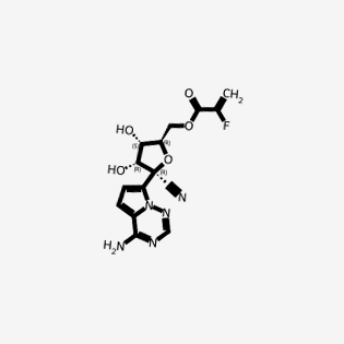 C=C(F)C(=O)OC[C@H]1O[C@@](C#N)(c2ccc3c(N)ncnn23)[C@H](O)[C@@H]1O